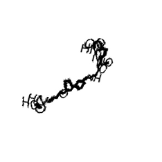 O=C(O)NCCCCOc1cccc(-c2cccc(CNCCC3CN(c4ccc5c(n4)NC(=O)CO5)C(=O)O3)c2)c1